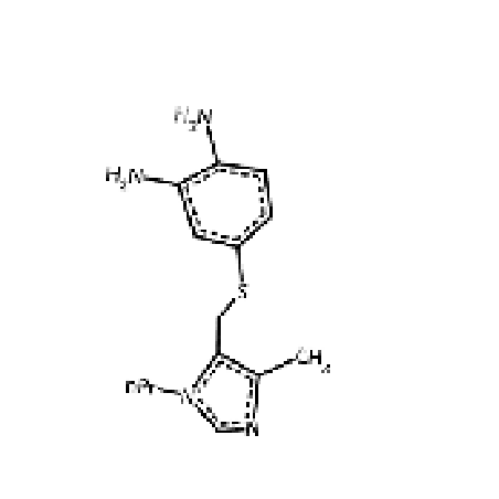 CCCn1cnc(C)c1CSc1ccc(N)c(N)c1